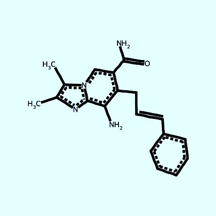 Cc1nc2c(N)c(CC=Cc3ccccc3)c(C(N)=O)cn2c1C